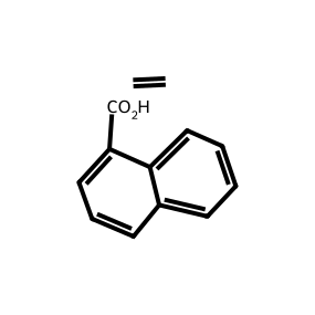 C=C.O=C(O)c1cccc2ccccc12